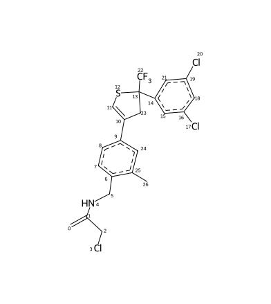 C=C(CCl)NCc1ccc(C2=CSC(c3cc(Cl)cc(Cl)c3)(C(F)(F)F)C2)cc1C